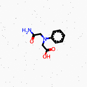 NC(=O)CN(CC(=O)O)c1ccccc1